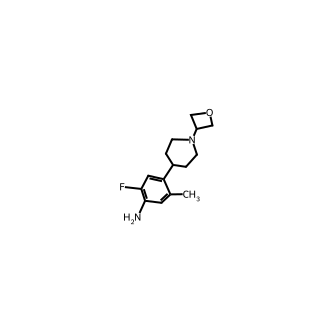 Cc1cc(N)c(F)cc1C1CCN(C2COC2)CC1